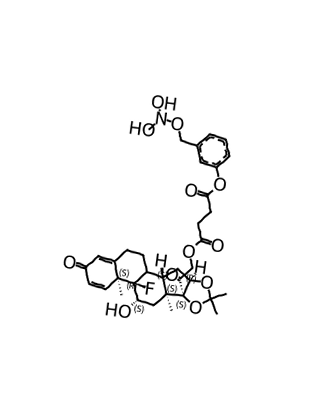 CC1(C)O[C@@H]2C[C@H]3C4CCC5=CC(=O)C=C[C@]5(C)[C@@]4(F)[C@@H](O)C[C@]3(C)[C@]2(C(=O)COC(=O)CCC(=O)Oc2cccc(CON(O)O)c2)O1